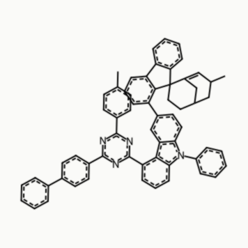 Cc1ccc(-c2nc(-c3ccc(-c4ccccc4)cc3)nc(-c3cccc4c3c3cc(-c5cccc6c5C5(CCC7CC5=CC(C)C7)c5ccccc5-6)ccc3n4-c3ccccc3)n2)cc1